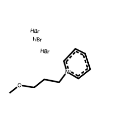 Br.Br.Br.COCCC[n+]1ccccc1